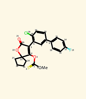 COC(=S)OC1=C(c2cc(-c3ccc(F)cc3)ccc2Cl)C(=O)OC12CCCC2